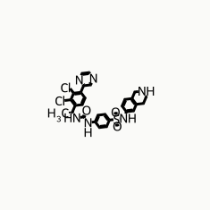 C[C@H](NC(=O)Nc1ccc(S(=O)(=O)Nc2ccc3c(c2)CCNC3)cc1)c1ccc(-c2cnccn2)c(Cl)c1Cl